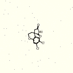 O=C1CC2(CCOc3cc(Cl)c(Cl)cc32)C(=O)N1